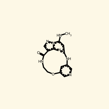 CNc1cc2nc3c(cnn13)C(=O)NCCOc1cncc(c1)N2